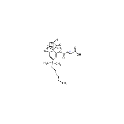 CCCCCCC(C)(C)C1=CC(O)C([C@@]2(C)[C@@H]3CCC(=O)[C@H]2C3)C(OC(=O)/C=C/C(=O)O)=C1